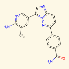 NC(=O)c1ccc(-c2ccc3ncc(-c4cnc(N)c(C(F)(F)F)c4)n3n2)cc1